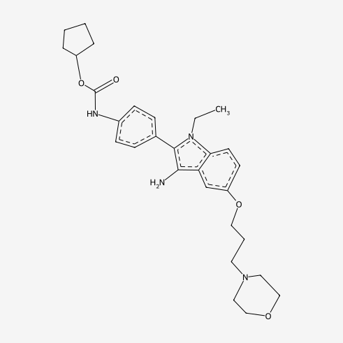 CCn1c(-c2ccc(NC(=O)OC3CCCC3)cc2)c(N)c2cc(OCCCN3CCOCC3)ccc21